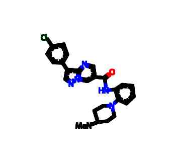 CNC1CCN(c2ccccc2NC(=O)c2cnc3c(-c4ccc(Cl)cc4)cnn3c2)CC1